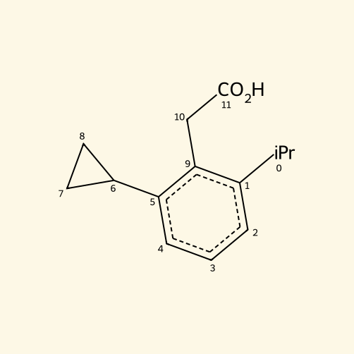 CC(C)c1cccc(C2CC2)c1CC(=O)O